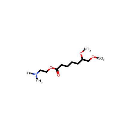 CC(C)N(C)CCOC(=O)CCCCC(CO[N+](=O)[O-])O[N+](=O)[O-]